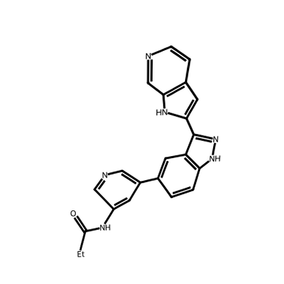 CCC(=O)Nc1cncc(-c2ccc3[nH]nc(-c4cc5ccncc5[nH]4)c3c2)c1